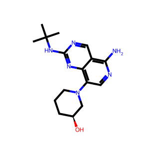 CC(C)(C)Nc1ncc2c(N)ncc(N3CCC[C@H](O)C3)c2n1